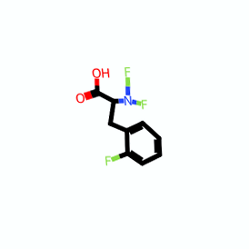 O=C(O)C(Cc1ccccc1F)N(F)F